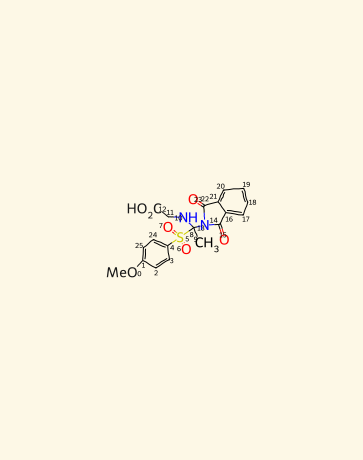 COc1ccc(S(=O)(=O)C(C)(NCC(=O)O)N2C(=O)c3ccccc3C2=O)cc1